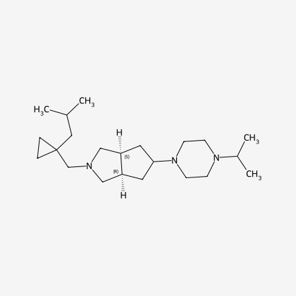 CC(C)CC1(CN2C[C@H]3CC(N4CCN(C(C)C)CC4)C[C@H]3C2)CC1